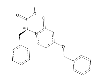 COC(=O)[C@H](Cc1ccccc1)n1ccc(OCc2ccccc2)cc1=O